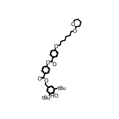 CC(C)(C)c1cc(COC(=O)c2ccc(OC(=O)c3ccc(OCCCCCCOC4CCCCO4)cc3)cc2)cc(C(C)(C)C)c1O